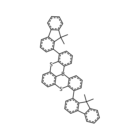 CC1(C)c2ccccc2-c2cccc(-c3cccc4c3Sc3cccc5c3B4c3cccc(-c4cccc6c4C(C)(C)c4ccccc4-6)c3S5)c21